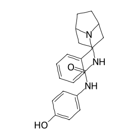 O=C(Nc1ccc(O)cc1)NC1CC2CCC(C1)N2Cc1ccccc1